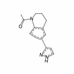 CC(=O)N1CCCc2cc(-c3cc[nH]n3)ccc21